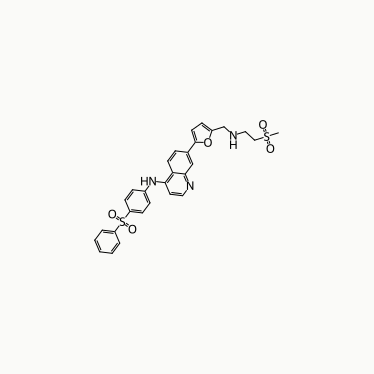 CS(=O)(=O)CCNCc1ccc(-c2ccc3c(Nc4ccc(S(=O)(=O)c5ccccc5)cc4)ccnc3c2)o1